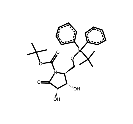 CC(C)(C)OC(=O)N1C(=O)[C@@H](O)[C@@H](O)[C@@H]1CO[Si](c1ccccc1)(c1ccccc1)C(C)(C)C